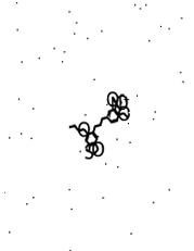 CCCOc1cc2c(cc1CCCc1ccc(OC)c([N+](=O)[O-])c1)OCS2